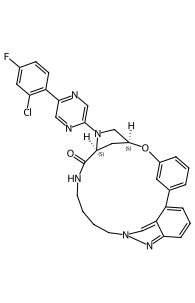 O=C1NCCCCn2cc3c(cccc3n2)-c2cccc(c2)O[C@H]2C[C@@H]1N(c1cnc(-c3ccc(F)cc3Cl)cn1)C2